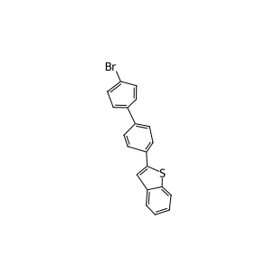 Brc1ccc(-c2ccc(-c3cc4ccccc4s3)cc2)cc1